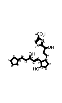 O=C(O)c1csc(C(O)CC[C@H]2CC[C@@H](O)C2/C=C/C(O)CCC2CCCC2)n1